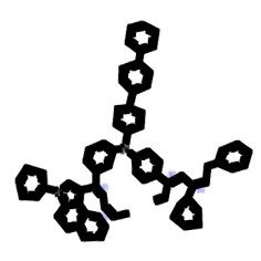 C=C/C(=C\C(=C/Cc1ccccc1)c1ccccc1)c1ccc(N(c2ccc(-c3ccc(-c4ccccc4)cc3)cc2)c2cccc(/C(=C/C=C\C)c3cn(-c4ccccc4)c4ccc5ccccc5c34)c2)cc1